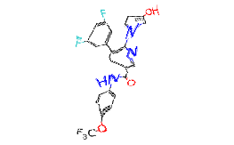 O=C(Nc1ccc(OC(F)(F)F)cc1)c1cnc(N2CC[C@@H](O)C2)c(-c2cc(F)cc(F)c2)c1